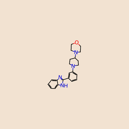 c1cc(-c2nc3ccccc3[nH]2)cc(N2CCC(N3CCOCC3)CC2)c1